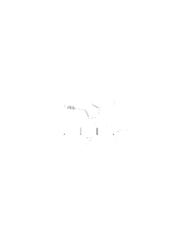 CC(C)(C)OC(=O)NC(=O)OC(C)(C)C.Cc1cc(C#N)co1